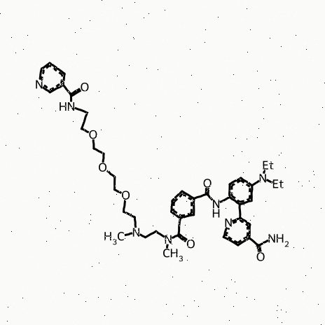 CCN(CC)c1ccc(NC(=O)c2cccc(C(=O)N(C)CCN(C)CCOCCOCCOCCNC(=O)c3cccnc3)c2)c(-c2cc(C(N)=O)ccn2)c1